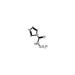 O=C(O)NC(=O)n1ccnc1